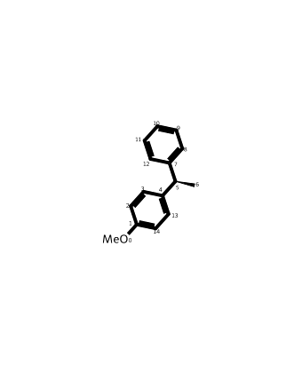 COc1ccc([C@H](C)c2ccccc2)cc1